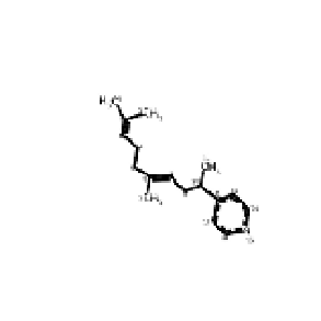 CC(C)=CCC/C(C)=C/CC(C)c1ccncc1